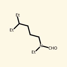 CCC(CC)CCCN(C=O)CC